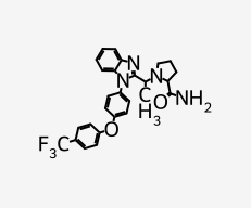 CC(c1nc2ccccc2n1-c1ccc(Oc2ccc(C(F)(F)F)cc2)cc1)N1CCCC1C(N)=O